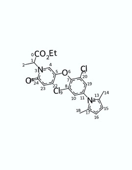 CCOC(=O)C(C)n1cc(Oc2c(Cl)cc(-n3c(C)ccc3C)cc2Cl)ccc1=O